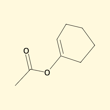 CC(=O)OC1=CCCCC1